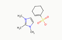 Cc1n(C)cc[n+]1C.O=S(=O)([O-])C1=CCCCC1